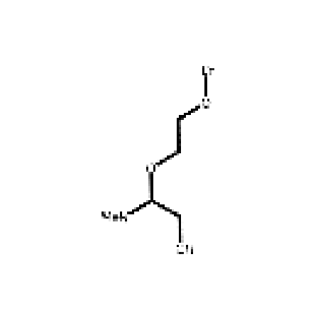 CCOCCOC(CO)NC